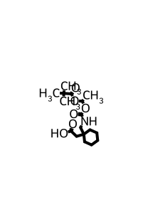 CC(OC(=O)NCC1(CC(=O)O)CCCCC1)OC(=O)C(C)(C)C